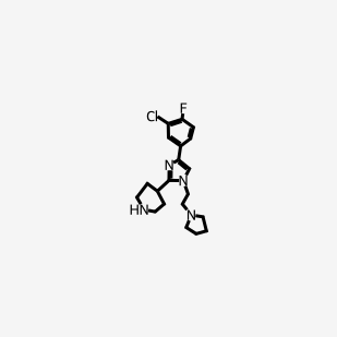 Fc1ccc(-c2cn(CCN3CCCC3)c(C3CCNCC3)n2)cc1Cl